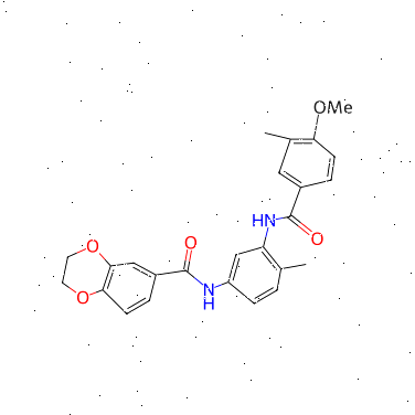 COc1ccc(C(=O)Nc2cc(NC(=O)c3ccc4c(c3)OCCO4)ccc2C)cc1C